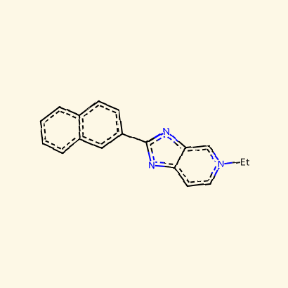 CCn1ccc2nc(-c3ccc4ccccc4c3)nc-2c1